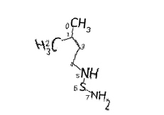 CC(C)CCNSN